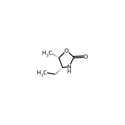 CC[C@H]1NC(=O)O[C@H]1C